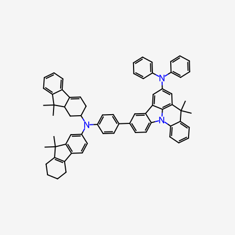 CC1(C)C2=C(CCCC2)c2ccc(N(c3ccc(-c4ccc5c(c4)c4cc(N(c6ccccc6)c6ccccc6)cc6c4n5-c4ccccc4C6(C)C)cc3)C3CC=C4c5ccccc5C(C)(C)C4C3)cc21